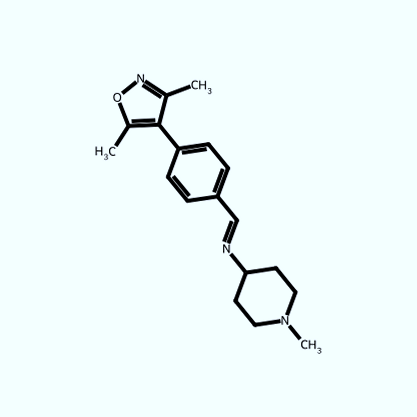 Cc1noc(C)c1-c1ccc(C=NC2CCN(C)CC2)cc1